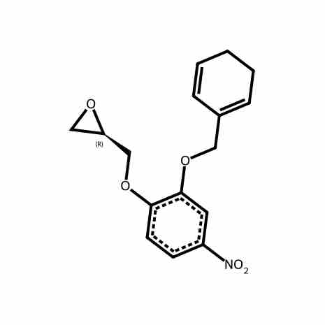 O=[N+]([O-])c1ccc(OC[C@H]2CO2)c(OCC2=CCCC=C2)c1